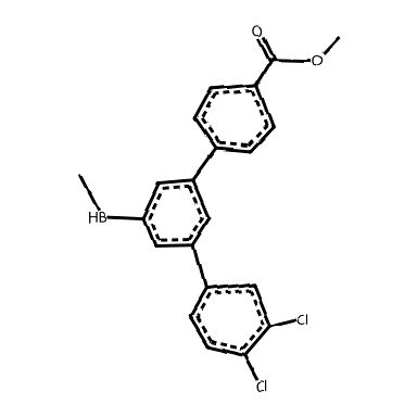 CBc1cc(-c2ccc(C(=O)OC)cc2)cc(-c2ccc(Cl)c(Cl)c2)c1